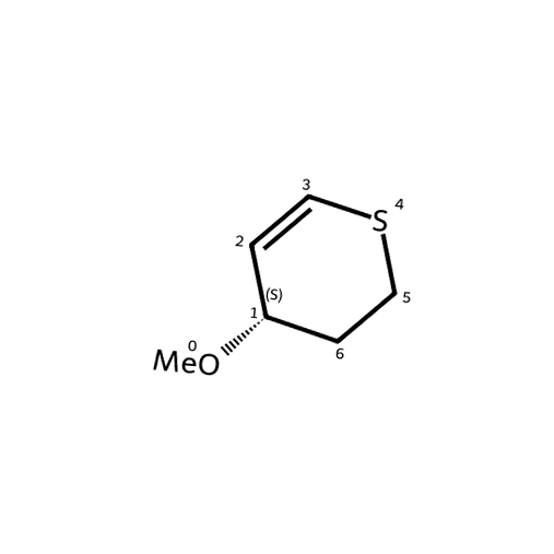 CO[C@@H]1C=CSCC1